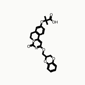 CC(C)(Oc1ccc2c(c1)CCn1c-2cc(OCC2COc3ccccc3O2)nc1=O)C(=O)O